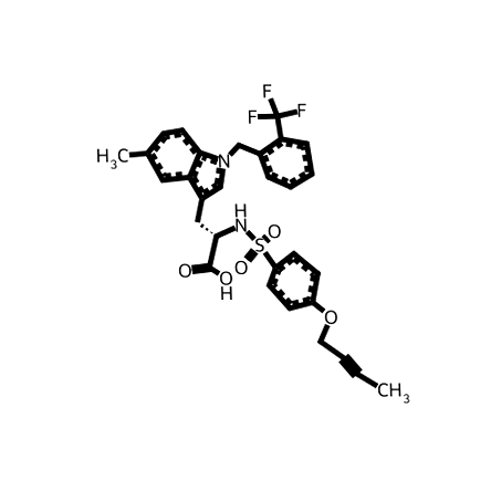 CC#CCOc1ccc(S(=O)(=O)N[C@@H](Cc2cn(Cc3ccccc3C(F)(F)F)c3ccc(C)cc23)C(=O)O)cc1